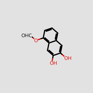 O=COc1cccc2cc(O)c(O)cc12